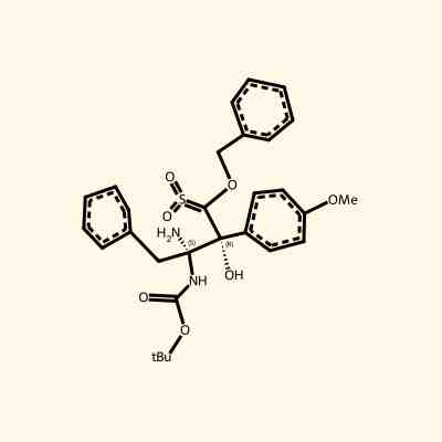 COc1ccc([C@](O)(C(OCc2ccccc2)=S(=O)=O)[C@](N)(Cc2ccccc2)NC(=O)OC(C)(C)C)cc1